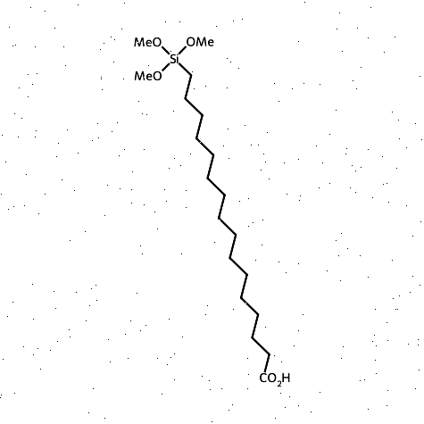 CO[Si](CCCCCCCCCCCCCCCC(=O)O)(OC)OC